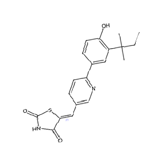 CCC(C)(C)c1cc(-c2ccc(/C=C3\SC(=O)NC3=O)cn2)ccc1O